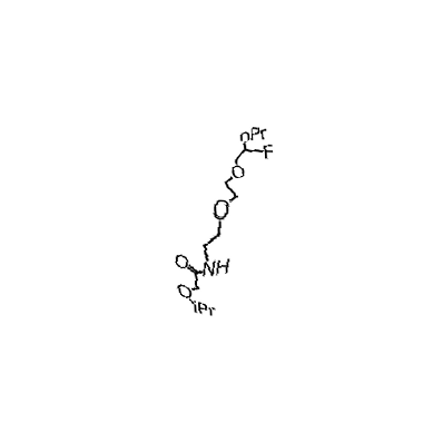 CCCC(F)COCCOCCNC(=O)COC(C)C